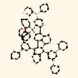 c1ccc(-c2cc(-c3ccccc3)cc(-c3c4c(c(-c5cc(-c6ccccc6)cc(-c6ccccc6)c5)c5ccccc35)-c3cc5c(c6cccc-4c36)-c3ccc(N(c4ccccc4)c4ccccc4)cc3C5(c3ccccc3)c3ccccc3)c2)cc1